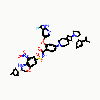 Cc1ccc([C@H]2COc3cc(S(=O)(=O)NC(=O)c4ccc(N5CCC6(CC5)CC(N5CCC[C@@H]5c5ccccc5C(C)C)C6)cc4Oc4cnc5[nH]cc(F)c5c4)cc([N+](=O)[O-])c3N2)cc1